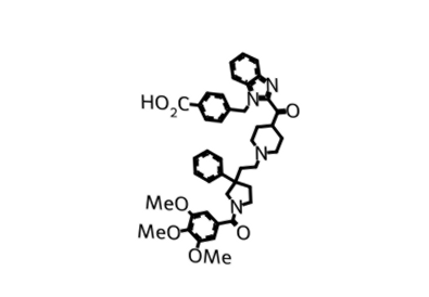 COc1cc(C(=O)N2CCC(CCN3CCC(C(=O)c4nc5ccccc5n4Cc4ccc(C(=O)O)cc4)CC3)(c3ccccc3)C2)cc(OC)c1OC